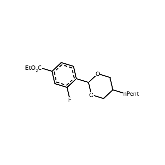 CCCCCC1COC(c2ccc(C(=O)OCC)cc2F)OC1